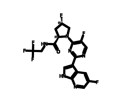 O=C(NCC(F)(F)F)[C@H]1C[C@H](F)CN1c1nc(-c2c[nH]c3ncc(F)cc23)ncc1F